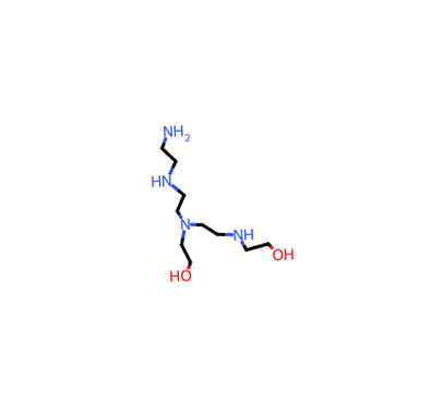 NCCNCCN(CCO)CCNCCO